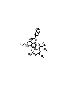 COC[C@H](NC(=O)C(CC(C)C)NC(=O)c1cc(C)on1)C(=O)NC(CC(C)C)C(=O)[C@@]1(C)CO1